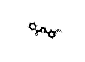 O=C(c1ccc(-c2cccc([N+](=O)[O-])c2)o1)N1CCCCC1